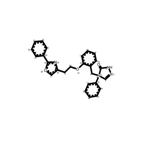 O=C1NN=C[N+]1(Cc1ccccc1OCCc1coc(-c2ccccc2)n1)c1ccccc1